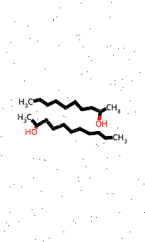 CCCCCCCCC(C)O.CCCCCCCCCC(C)O